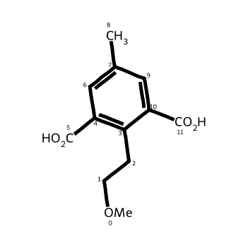 COCCc1c(C(=O)O)cc(C)cc1C(=O)O